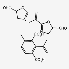 C=C(C)C1=NCC(C=O)O1.C=C(C)c1c(C(=O)O)ccc(C)c1C(=O)O.O=CC1CN=CO1